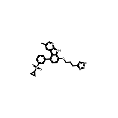 Cc1cnc2[nH]c3c(OCCCc4c[nH]nn4)ccc(-c4cccc(S(=O)(=O)C5CC5)c4)c3c2c1